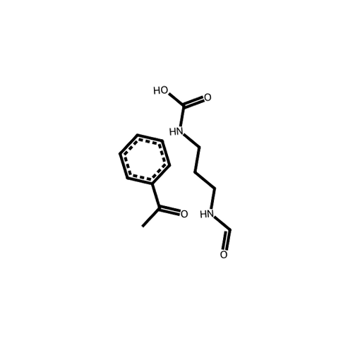 CC(=O)c1ccccc1.O=CNCCCNC(=O)O